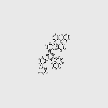 c1ccc(-c2c3ccccc3c(-c3cccc(-c4cc(-c5cccc(-c6ccccn6)c5)nc(-c5cncc6ccccc56)n4)c3)c3ccccc23)cc1